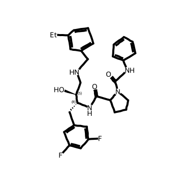 CCc1cccc(CNC[C@H](O)[C@@H](Cc2cc(F)cc(F)c2)NC(=O)C2CCCN2C(=O)Nc2ccccc2)c1